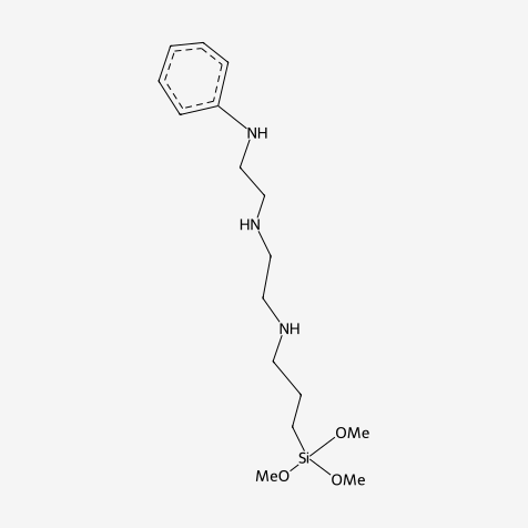 CO[Si](CCCNCCNCCNc1ccccc1)(OC)OC